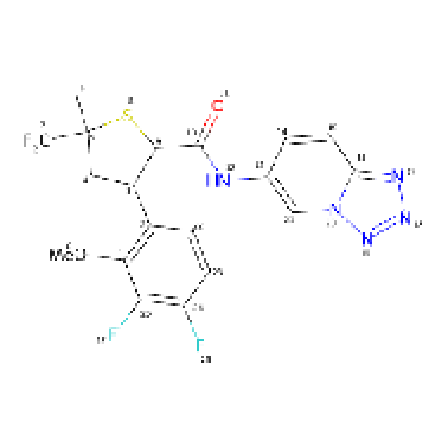 COc1c(C2CC(C)(C(F)(F)F)SC2C(=O)Nc2ccc3nnnn3c2)ccc(F)c1F